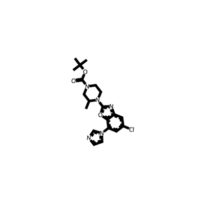 CC1CN(C(=O)OC(C)(C)C)CCN1c1nc2cc(Cl)cc(-n3ccnc3)c2o1